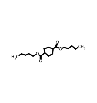 CCCCCOC(=O)C1CCC(C(=O)OCCCCC)CC1